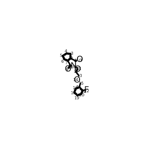 O=C1c2ccccc2C(=O)N1OCCOCc1ccccc1F